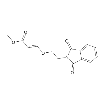 COC(=O)C=COCCN1C(=O)c2ccccc2C1=O